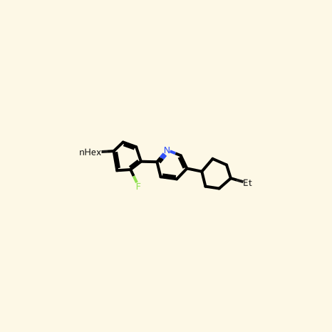 CCCCCCc1ccc(-c2ccc(C3CCC(CC)CC3)cn2)c(F)c1